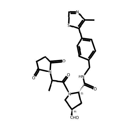 Cc1ncsc1-c1ccc(CNC(=O)[C@@H]2C[C@@H](C=O)CN2C(=O)C(C)N2C(=O)CCC2=O)cc1